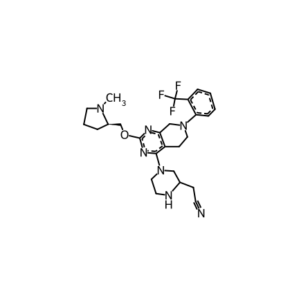 CN1CCC[C@@H]1COc1nc2c(c(N3CCNC(CC#N)C3)n1)CCN(c1ccccc1C(F)(F)F)C2